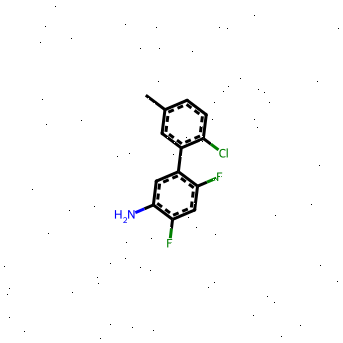 Cc1ccc(Cl)c(-c2cc(N)c(F)cc2F)c1